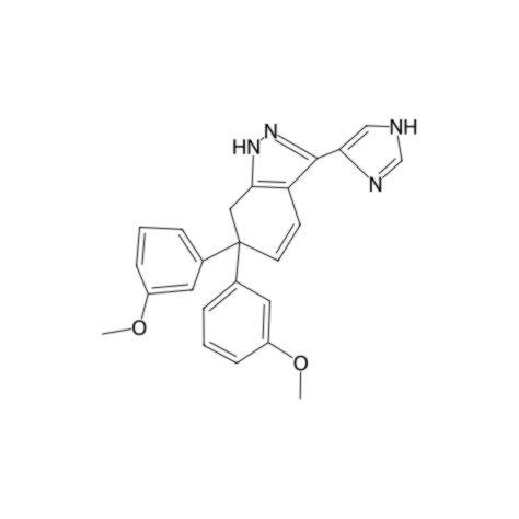 COc1cccc(C2(c3cccc(OC)c3)C=Cc3c(-c4c[nH]cn4)n[nH]c3C2)c1